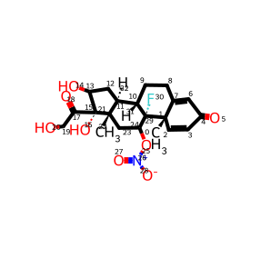 C[C@]12C=CC(=O)C=C1CC[C@H]1[C@@H]3CC(O)[C@](O)(C(=O)CO)[C@@]3(C)CC(O[N+](=O)[O-])[C@@]12F